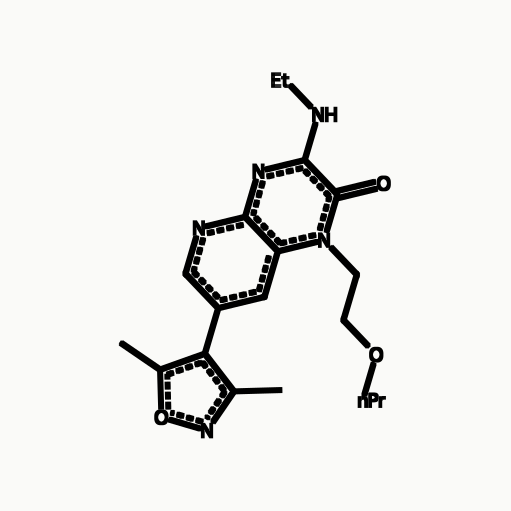 CCCOCCn1c(=O)c(NCC)nc2ncc(-c3c(C)noc3C)cc21